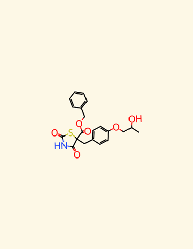 CC(O)COc1ccc(CC2(C(=O)OCc3ccccc3)SC(=O)NC2=O)cc1